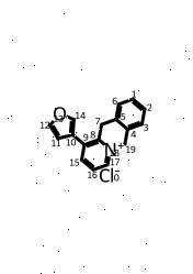 [Cl-].c1ccc2c(c1)Cc1c(-c3ccoc3)ccc[n+]1C2